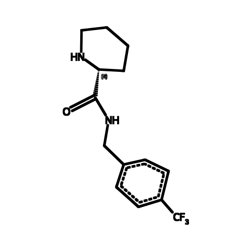 O=C(NCc1ccc(C(F)(F)F)cc1)[C@H]1CCCCN1